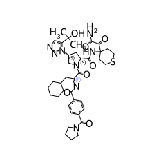 CC(C)(O)c1cnnn1[C@H]1C[C@@H](C(=O)NC2(C(=O)C(N)=O)CCSCC2)N(C(=O)/C(CC2CCCCC2)=N/C(=O)c2ccc(C(=O)N3CCCC3)cc2)C1